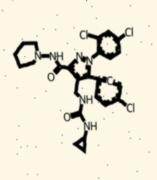 O=C(NCc1c(C(=O)NN2CCCCC2)nn(-c2ccc(Cl)cc2Cl)c1-c1ccc(Cl)cc1)NC1CC1